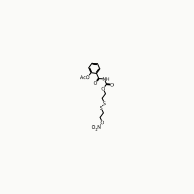 CC(=O)Oc1ccccc1C(=O)NC(=O)OCCSSCCO[N+](=O)[O-]